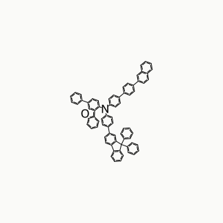 c1ccc(-c2ccc(N(c3ccc(-c4ccc(-c5ccc6ccccc6c5)cc4)cc3)c3ccc(-c4ccc5c(c4)C(c4ccccc4)(c4ccccc4)c4ccccc4-5)cc3)c3c2oc2ccccc23)cc1